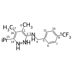 CC1=C(NCc2ccc(C(F)(F)F)cc2)NNC(C(C)C)=C1C